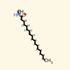 CCCCCCCCCCCCCCCCCCC(=O)NC